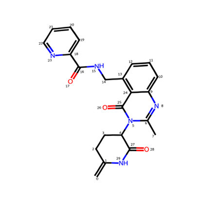 C=C1CCC(n2c(C)nc3cccc(CNC(=O)c4ccccn4)c3c2=O)C(=O)N1